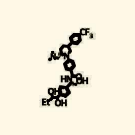 CCC(O)C(O)c1ccc([C@H](CO)NC(=O)c2ccc(N3CC(c4ccc(C(F)(F)F)cc4)CC[C@H]3CN(C)C)cc2)cc1